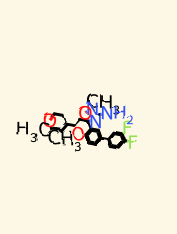 CN1OC2(C[C@H]([C@@H]3CCOC(C)(C)C3)Oc3ccc(-c4ccc(F)c(F)c4)cc32)N=C1N